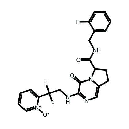 O=C(NCc1ccccc1F)C1CCc2cnc(NCC(F)(F)c3cccc[n+]3[O-])c(=O)n21